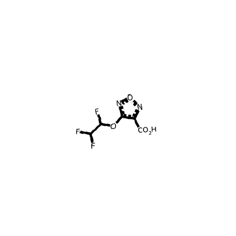 O=C(O)c1nonc1OC(F)C(F)F